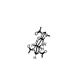 CC(=O)N1C2N[C@@H]3[C@@H]4NC2N(C)C1[C@H](N3C(C)=O)N4C(C)=O